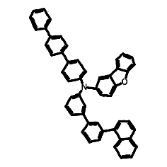 c1ccc(-c2ccc(-c3ccc(N(c4cccc(-c5cccc(-c6cccc7ccccc67)c5)c4)c4ccc5oc6ccccc6c5c4)cc3)cc2)cc1